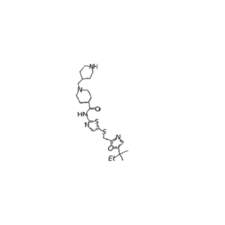 CCC(C)(C)c1cnc(CSc2cnc(NC(=O)C3CCN(CC4CCNCC4)CC3)s2)o1